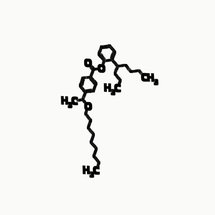 CCCCCCCCCOC(C)c1ccc(C(=O)Oc2ccccc2C(CCC)CCCC)cc1